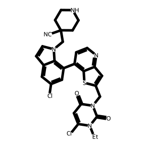 CCn1c(Cl)cc(=O)n(Cc2cc3nccc(-c4cc(Cl)cc5ccn(CC6(C#N)CCNCC6)c45)c3s2)c1=O